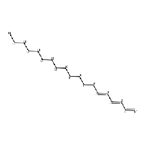 [CH]=CC=CC=CCCCCCCCCCCCCC